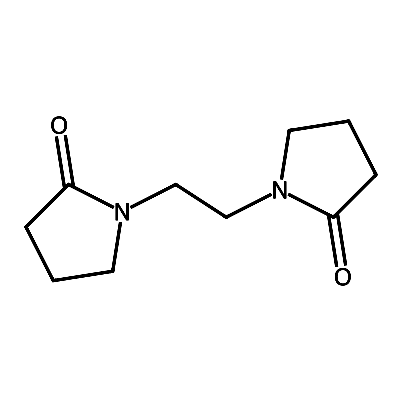 O=C1CCCN1CCN1CCCC1=O